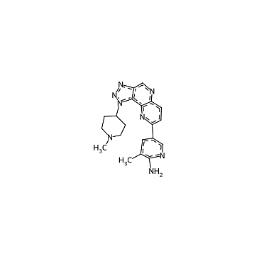 Cc1cc(-c2ccc3ncc4nnn(C5CCN(C)CC5)c4c3n2)cnc1N